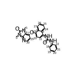 Cn1c(=O)n(C)c2c(Oc3ccc(NC(=O)Nc4ccccc4)c4ccccc34)ccnc21